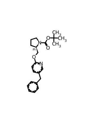 CC(C)(C)OC(=O)N1CCC[C@@H]1COc1ccc(Cc2ccccc2)cn1